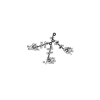 CC(=O)O[C@@H]1[C@@H](OC(C)=O)[C@H](C)O[C@@H](OCCCC(=O)NCCNC(=O)COc2cc(OCC(=O)NCCNC(=O)CCCO[C@@H]3O[C@@H](C)[C@H](OC(C)=O)[C@@H](OC(C)=O)[C@H]3OC(C)=O)cc(-c3cc(OCC(=O)NCCNC(=O)CCCO[C@@H]4O[C@@H](C)[C@H](OC(C)=O)[C@@H](OC(C)=O)[C@H]4OC(C)=O)cc(C(=O)OCc4ccccc4)c3)c2)[C@@H]1OC(C)=O